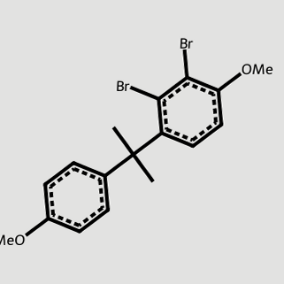 COc1ccc(C(C)(C)c2ccc(OC)c(Br)c2Br)cc1